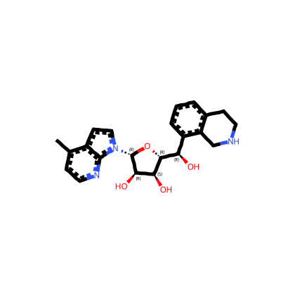 Cc1ccnc2c1ccn2[C@@H]1O[C@H]([C@H](O)c2cccc3c2CNCC3)[C@@H](O)[C@H]1O